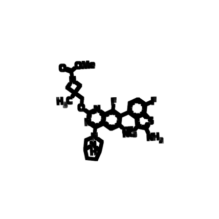 COC(=O)N1CC(C)(COc2nc(N3CC4CCC(C3)N4)c3cc(C(F)(F)F)c(-c4ccc(F)c5sc(N)c(C#N)c45)c(F)c3n2)C1